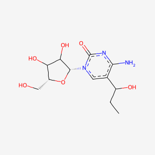 CCC(O)c1cn([C@@H]2O[C@H](CO)C(O)C2O)c(=O)nc1N